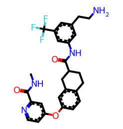 CNC(=O)c1cc(Oc2ccc3c(c2)CC(C(=O)Nc2cc(CCN)cc(C(F)(F)F)c2)CC3)ccn1